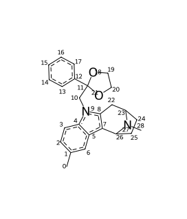 Cc1ccc2c(c1)c1c(n2CC2(c3ccccc3)OCCO2)CC2CCC1N2C